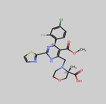 COC(=O)C1=C(CN2CCOC[C@@]2(C)C(=O)O)NC(c2nccs2)=N[C@H]1c1ccc(Cl)cc1F